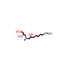 CCCCCCCCCCCCCCC(O)CN(C)CC(O)CO